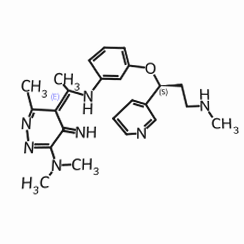 CNCC[C@H](Oc1cccc(N/C(C)=C2\C(=N)C(N(C)C)=NN=C2C)c1)c1cccnc1